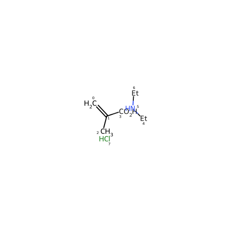 C=C(C)C(=O)O.CCNCC.Cl